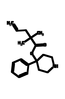 C=CCC(C)(C)C(=O)OC1(c2ccccc2)CCNCC1